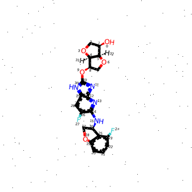 O[C@@H]1CO[C@H]2[C@@H]1OC[C@H]2Oc1nc2nc(N[C@@H]3COc4cccc(F)c43)c(F)cc2[nH]1